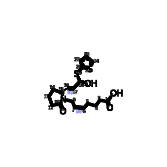 O=C(O)CCC/C=C\CN1C(=O)CCC[C@@H]1/C=C/C(O)Sc1cccs1